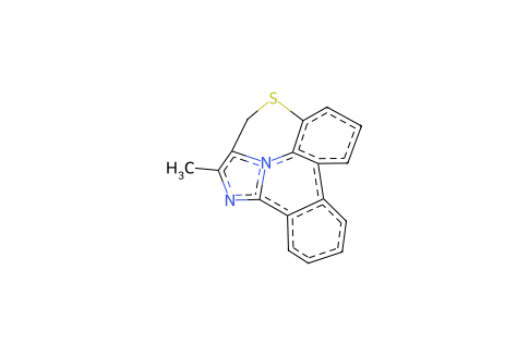 Cc1nc2c3ccccc3c3cccc4c3n2c1CS4